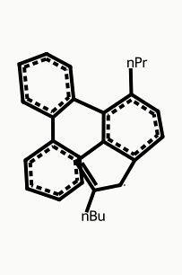 CCCCC1=Cc2c(ccc(CCC)c2-c2ccccc2-c2ccccc2)[CH]1